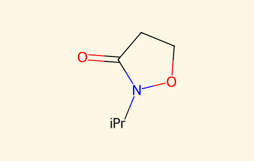 CC(C)N1OCCC1=O